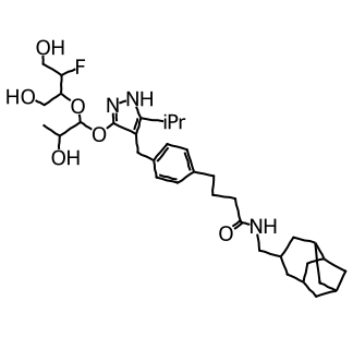 CC(C)c1[nH]nc(OC(OC(CO)C(F)CO)C(C)O)c1Cc1ccc(CCCC(=O)NCC2CC3CC4CC(C2)C(C3)C4)cc1